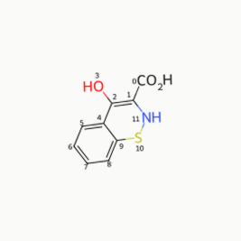 O=C(O)C1=C(O)c2ccccc2SN1